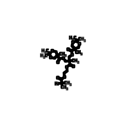 CCC(C)(C)C(=O)OCCOC(=O)C(C)(COC(=O)C1(C)COC(C)(C)OC1)COC(=O)C1(C)COC(C)(C)OC1